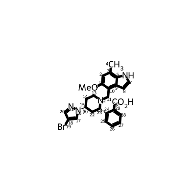 COc1cc(C)c2[nH]ccc2c1CN1CC[C@@H](n2cc(Br)cn2)C[C@H]1c1ccccc1C(=O)O